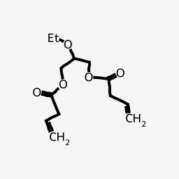 C=CCC(=O)OCC(COC(=O)CC=C)OCC